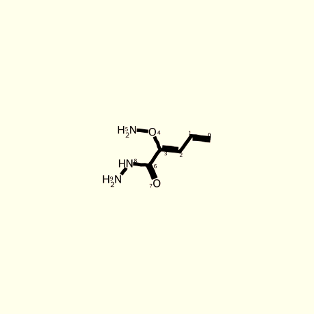 C=C/C=C(\ON)C(=O)NN